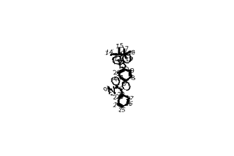 CN(C)C(=O)C(Oc1ccc(B2OC(C)(C)C(C)(C)O2)cc1)c1ccccc1